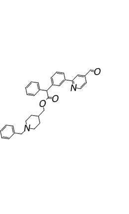 O=Cc1ccnc(-c2cccc(C(C(=O)OCC3CCN(Cc4ccccc4)CC3)c3ccccc3)c2)c1